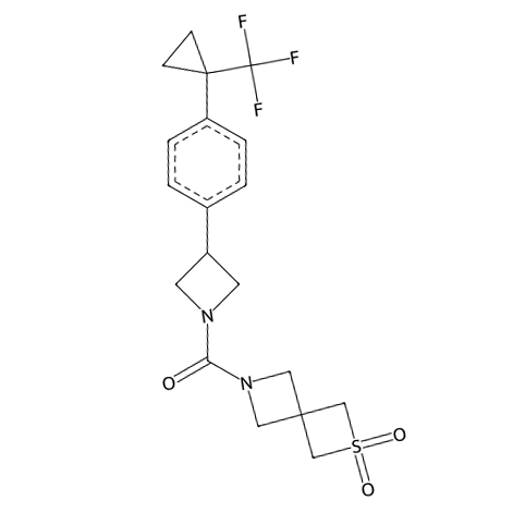 O=C(N1CC(c2ccc(C3(C(F)(F)F)CC3)cc2)C1)N1CC2(C1)CS(=O)(=O)C2